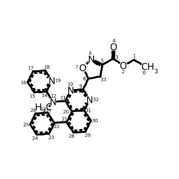 CCOC(=O)C1=NOC(c2nc(N(C)c3ccccn3)c3c(-c4ccccc4)cccc3n2)C1